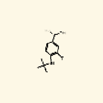 CC(C)(C)Bc1ccc(B(O)O)cc1F